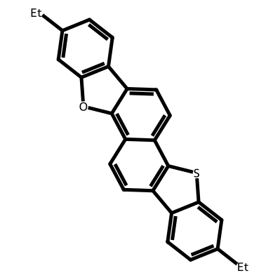 CCc1ccc2c(c1)oc1c2ccc2c1ccc1c3ccc(CC)cc3sc12